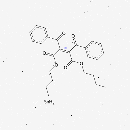 CCCCOC(=O)/C(C(=O)c1ccccc1)=C(\C(=O)OCCCC)C(=O)c1ccccc1.[SnH4]